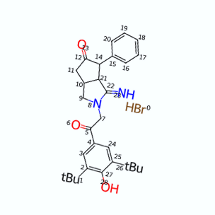 Br.CC(C)(C)c1cc(C(=O)CN2CC3CC(=O)C(c4ccccc4)C3C2=N)cc(C(C)(C)C)c1O